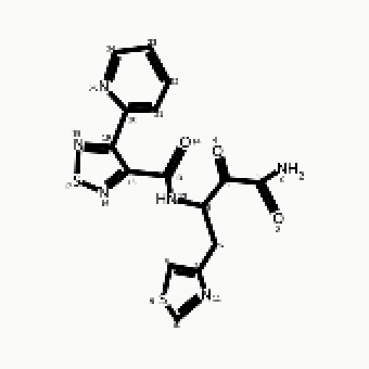 NC(=O)C(=O)C(Cc1cscn1)NC(=O)c1nsnc1-c1ccccn1